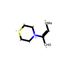 CO/C=C(/C=O)N1CCSCC1